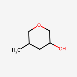 [CH2]C1COCC(O)C1